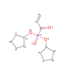 C=CC(=O)P(=O)(OC1CCCC1)OC1CCCC1